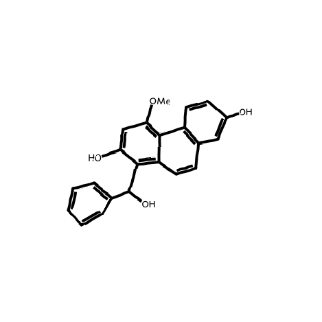 COc1cc(O)c(C(O)c2ccccc2)c2ccc3cc(O)ccc3c12